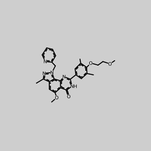 COCCOc1c(C)cc(-c2nc3c(c(OC)cc4c(C)nn(Cc5ccccn5)c43)c(=O)[nH]2)cc1C